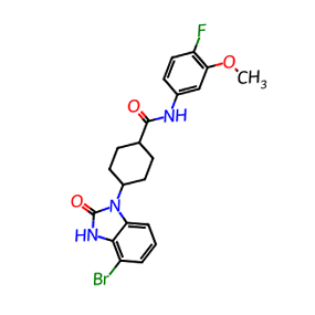 COc1cc(NC(=O)C2CCC(n3c(=O)[nH]c4c(Br)cccc43)CC2)ccc1F